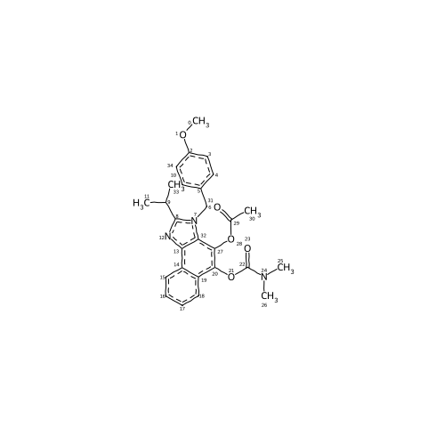 COc1ccc(Cn2c(C(C)C)nc3c4ccccc4c(OC(=O)N(C)C)c(OC(C)=O)c32)cc1